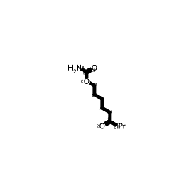 CC(C)C(=O)CCCCCOC(N)=O